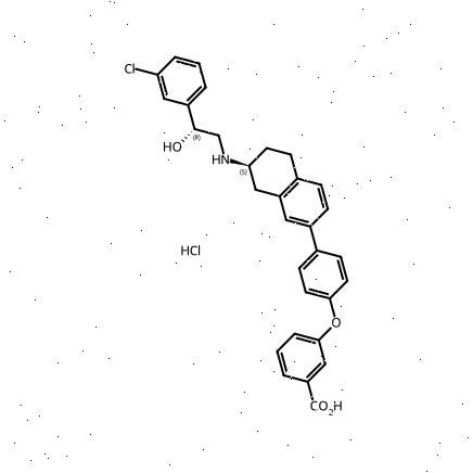 Cl.O=C(O)c1cccc(Oc2ccc(-c3ccc4c(c3)C[C@@H](NC[C@H](O)c3cccc(Cl)c3)CC4)cc2)c1